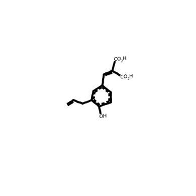 C=CCc1cc(C=C(C(=O)O)C(=O)O)ccc1O